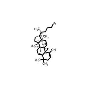 CC(C)CCC[C@@H](C)[C@H]1CC[C@@]2(C)[C@@H]3CC=C4[C@@H](C(O)=CCC4(C)C)[C@]3(C)CC[C@]12C